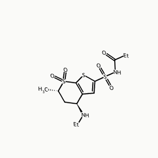 CCN[C@H]1C[C@H](C)S(=O)(=O)c2sc(S(=O)(=O)NC(=O)CC)cc21